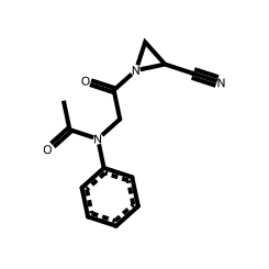 CC(=O)N(CC(=O)N1CC1C#N)c1ccccc1